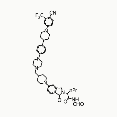 CCCC(C(=O)NC=O)N1Cc2cc(N3CCC(CN4CCN(c5ccc(C6CCN(c7ccc(C#N)c(C(F)(F)F)c7)CC6)cc5)CC4)CC3)ccc2C1=O